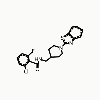 O=C(NCC1CCN(c2nc3ccccc3s2)CC1)c1c(F)cccc1Cl